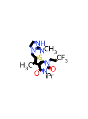 C/N=C1\NCCN1Cc1sc2c(c1C)c(=O)n(C(C)C)c(=O)n2CCC(F)(F)F